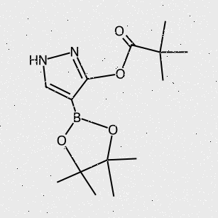 CC(C)(C)C(=O)Oc1n[nH]cc1B1OC(C)(C)C(C)(C)O1